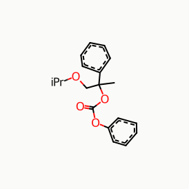 CC(C)OCC(C)(OC(=O)Oc1ccccc1)c1ccccc1